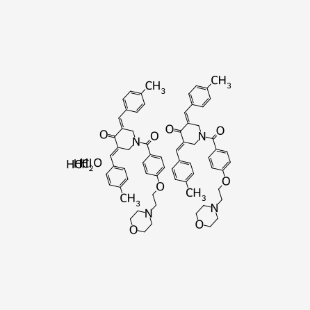 Cc1ccc(C=C2CN(C(=O)c3ccc(OCCN4CCOCC4)cc3)CC(=Cc3ccc(C)cc3)C2=O)cc1.Cc1ccc(C=C2CN(C(=O)c3ccc(OCCN4CCOCC4)cc3)CC(=Cc3ccc(C)cc3)C2=O)cc1.Cl.Cl.O